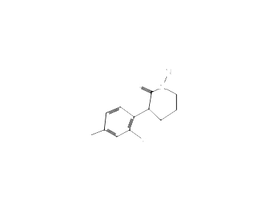 NN1CCCC(c2ccc(F)cc2Cl)C1=O